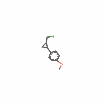 COc1ccc(C2CC2CBr)cc1